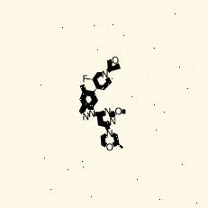 COc1nc(N2CCO[C@H](C)C2)cc(-n2ncc3cc(C)c([C@H]4CCN(C5COC5)C[C@H]4F)cc32)n1